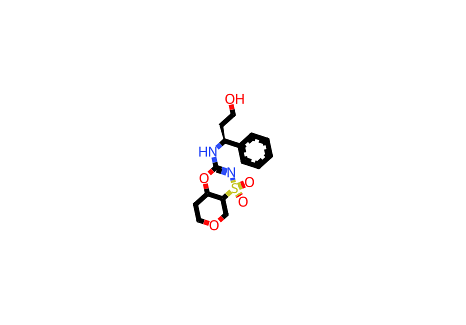 O=S1(=O)N=C(N[C@@H](CCO)c2ccccc2)OC2CCOCC21